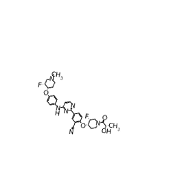 C[C@H](O)C(=O)N1CC[C@H](Oc2ccc(-c3nccc(Nc4ccc(O[C@H]5CCN(C)C[C@H]5F)cc4)n3)cc2C#N)[C@H](F)C1